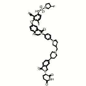 N#Cc1c(NS(=O)(=O)N2CC[C@@H](F)C2)ccc(F)c1Oc1ccc2ncn(-c3ccc(N4CCC(CN5CCC(c6ccc7c(c6)CN([C@H]6CCC(=O)NC6=O)C7=O)CC5)C4)cc3)c(=O)c2c1